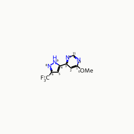 COc1cc(-c2cc(C(F)(F)F)n[nH]2)ncn1